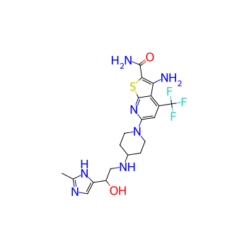 Cc1ncc(C(O)CNC2CCN(c3cc(C(F)(F)F)c4c(N)c(C(N)=O)sc4n3)CC2)[nH]1